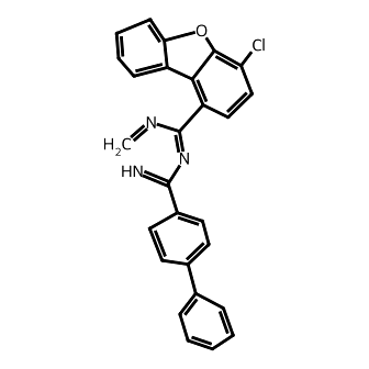 C=N/C(=N\C(=N)c1ccc(-c2ccccc2)cc1)c1ccc(Cl)c2oc3ccccc3c12